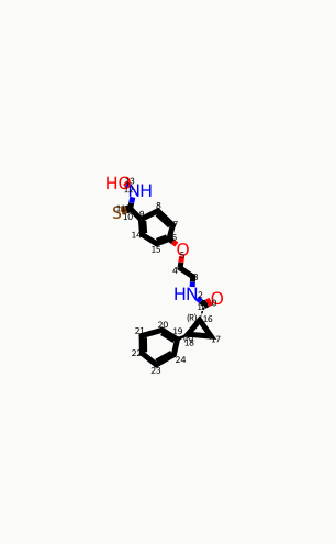 O=C(NCCOc1ccc(C(=S)NO)cc1)[C@@H]1C[C@H]1c1ccccc1